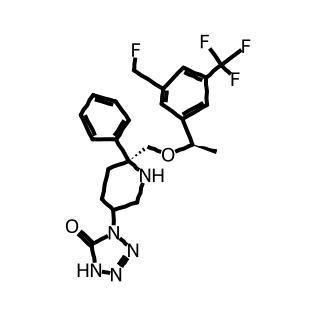 C[C@@H](OC[C@@]1(c2ccccc2)CCC(n2nn[nH]c2=O)CN1)c1cc(CF)cc(C(F)(F)F)c1